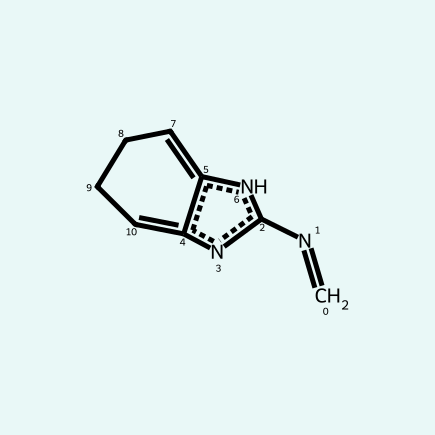 C=Nc1nc2c([nH]1)=CCCC=2